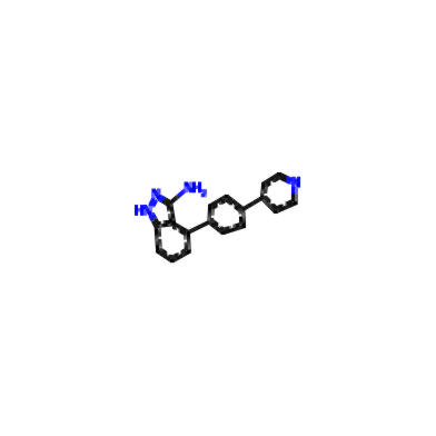 Nc1n[nH]c2cccc(-c3ccc(-c4ccncc4)cc3)c12